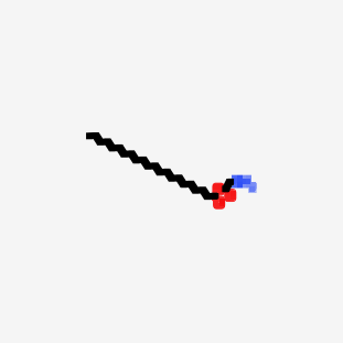 CCCCCCCCCCCCCCCCCCCCCC(=O)OC(=O)CN